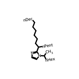 CCCCCCCCCCCCCCCCC(CCCCC)c1nccn1C(C)CCCCCC